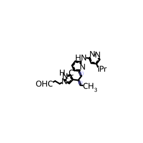 C=c1ccc(Nc2cc(C(C)C)cnn2)n/c1=C/C(=C\C)c1cnn(CCC=O)c1